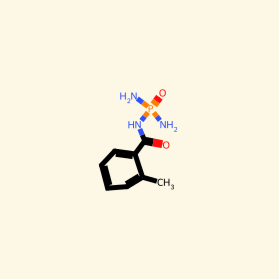 Cc1ccccc1C(=O)NP(N)(N)=O